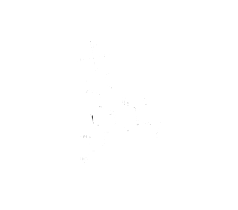 CC(F)(F)c1ccc(C(C[C@H]2CCC(O)N2)c2ccc(C3CC3)c(=O)[nH]2)cc1